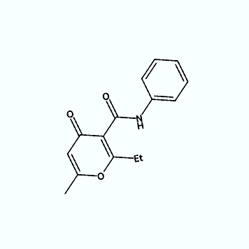 CCc1oc(C)cc(=O)c1C(=O)Nc1ccccc1